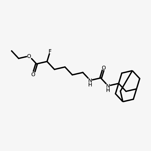 CCOC(=O)C(F)CCCCNC(=O)NC12CC3CC(CC(C3)C1)C2